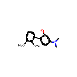 COc1cc[c]c(-c2ccc(N(C)C)cc2O)c1OC